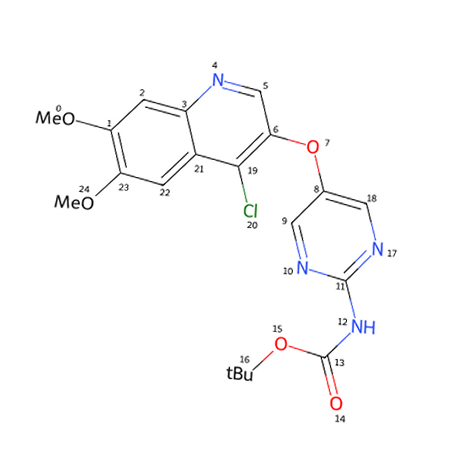 COc1cc2ncc(Oc3cnc(NC(=O)OC(C)(C)C)nc3)c(Cl)c2cc1OC